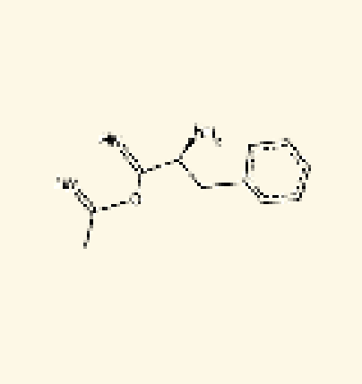 CC(=N)OC(=N)[C@@H](N)Cc1ccccc1